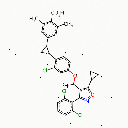 [2H]C(Oc1ccc(C2CC2c2cc(C)c(C(=O)O)c(C)c2)c(Cl)c1)c1c(-c2c(Cl)cccc2Cl)noc1C1CC1